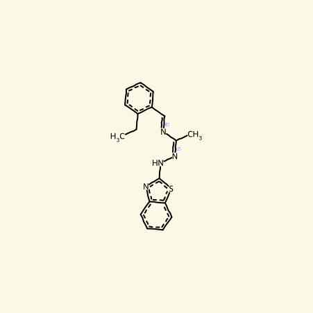 CCc1ccccc1/C=N/C(C)=N\Nc1nc2ccccc2s1